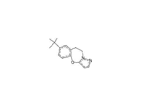 CC(C)(C)c1ccc2c(c1)CCn1nccc1O2